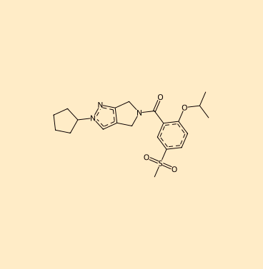 CC(C)Oc1ccc(S(C)(=O)=O)cc1C(=O)N1Cc2cn(C3CCCC3)nc2C1